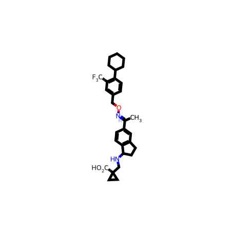 C/C(=N\OCc1ccc(C2CCCCC2)c(C(F)(F)F)c1)c1ccc2c(c1)CCC2NCC1(C(=O)O)CC1